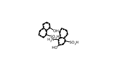 Nc1c(O)cc(S(=O)(=O)O)c2ccccc12.O=S(=O)(O)c1cccc2cccc(O)c12